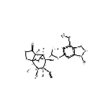 C=C[C@]1(C)C[C@@H](C(Oc2cc(CN)c3c(c2)B(O)OC3)C(=O)O)[C@@]2(C)[C@H](C)CC[C@]3(CCC(=O)[C@H]32)[C@@H](C)[C@@H]1O